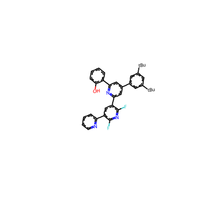 CC(C)(C)c1cc(-c2cc(-c3ccccc3O)nc(-c3cc(-c4ccccn4)c(F)nc3F)c2)cc(C(C)(C)C)c1